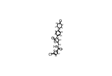 O=C1CCN(c2ccc(N3CC(CNC(=O)c4ccc(Cl)s4)OC3=O)cc2)CC1